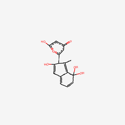 CC1=C2C(=CC=CC2(O)O)C=C(O)C1c1cc(=O)cc(O)o1